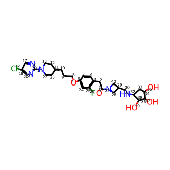 O=C(Cc1ccc(OCCCC2CCN(c3ncc(Cl)cn3)CC2)cc1F)N1CC(CNC2CC(O)C(O)C2O)C1